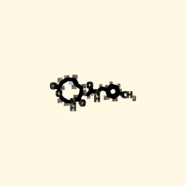 Cc1ccc(CNC(=O)C[C@H]2C/C=C/CCC(=O)OCCNC2=O)cc1